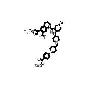 CC(=O)N1CCc2c(c(N3CCCc4cc(-c5cnn(C)c5)c(C(F)F)cc43)nn2C2CCN(CC3CCN(c4ccc(C(=O)OC(C)(C)C)cc4)CC3)CC2)C1